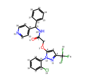 O=C(COc1cc(C(F)(F)F)nn1-c1ccccc1Cl)NC(c1ccccc1)c1ccncc1